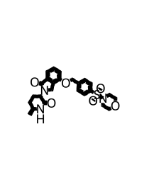 C=C1CCC(N2Cc3c(OCc4ccc(S(=O)(=O)N5CCOCC5)cc4)cccc3C2=O)C(=O)N1